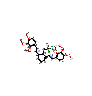 COc1ccc(/C=C/c2cccc(/C=C/c3ccc(OC)c(OC)c3OC)c2CC(F)(F)F)c(OC)c1OC